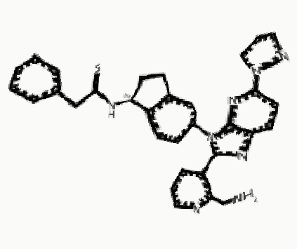 Nc1ncccc1-c1nc2ccc(-n3cccn3)nc2n1-c1ccc2c(c1)CC[C@@H]2NC(=S)Cc1ccccc1